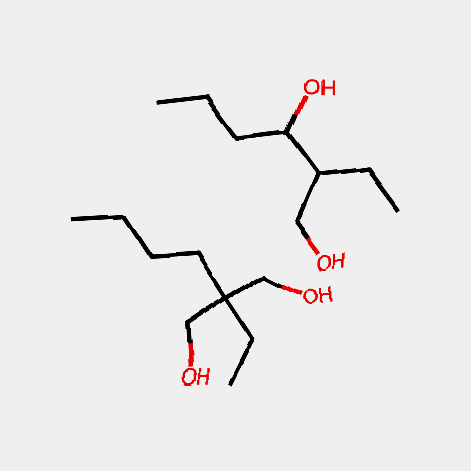 CCCC(O)C(CC)CO.CCCCC(CC)(CO)CO